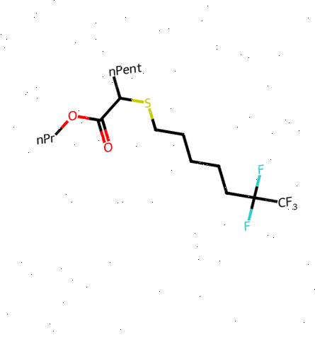 CCCCCC(SCCCCCC(F)(F)C(F)(F)F)C(=O)OCCC